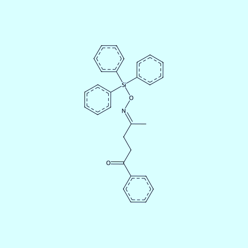 C/C(CCC(=O)c1ccccc1)=N\O[Si](c1ccccc1)(c1ccccc1)c1ccccc1